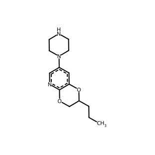 CCCC1COc2ncc(N3CCNCC3)cc2O1